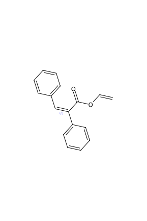 C=COC(=O)/C(=C\c1ccccc1)c1ccccc1